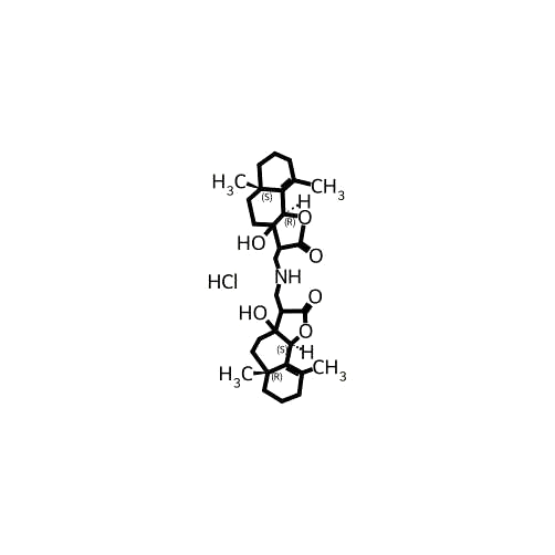 CC1=C2[C@H]3OC(=O)C(CNCC4C(=O)O[C@H]5C6=C(C)CCC[C@]6(C)CCC45O)C3(O)CC[C@]2(C)CCC1.Cl